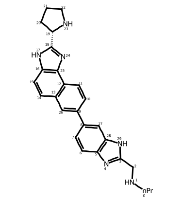 CCCNCc1nc2ccc(-c3ccc4c(ccc5[nH]c([C@@H]6CCCN6)nc54)c3)cc2[nH]1